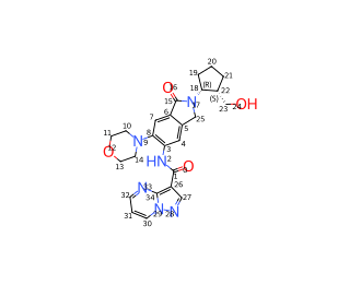 O=C(Nc1cc2c(cc1N1CCOCC1)C(=O)N([C@@H]1CCC[C@@H]1CO)C2)c1cnn2cccnc12